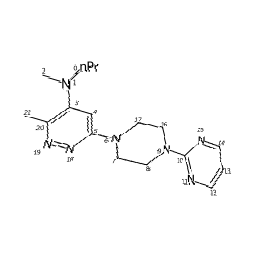 CCCN(C)c1cc(N2CCN(c3ncccn3)CC2)nnc1C